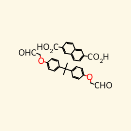 CC(C)(c1ccc(OCC=O)cc1)c1ccc(OCC=O)cc1.O=C(O)c1ccc2cc(C(=O)O)ccc2c1